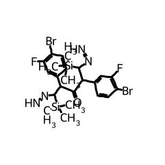 C[Si](C)(C)C(N=N)C(C(=O)C(c1ccc(Br)c(F)c1)C(N=N)[Si](C)(C)C)c1ccc(Br)c(F)c1